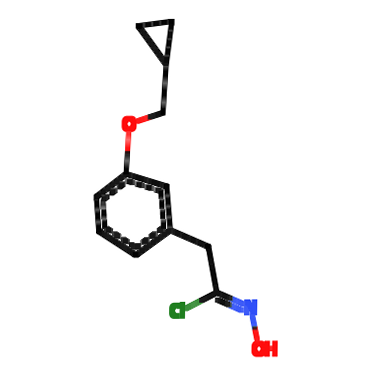 ON=C(Cl)Cc1cccc(OCC2CC2)c1